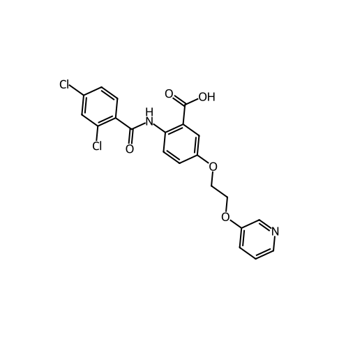 O=C(Nc1ccc(OCCOc2cccnc2)cc1C(=O)O)c1ccc(Cl)cc1Cl